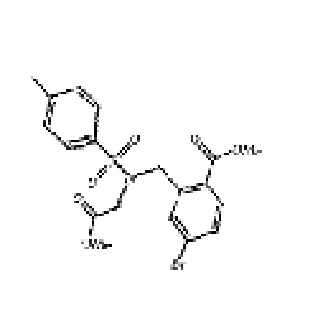 COC(=O)CN(Cc1cc(Br)ccc1C(=O)OC)S(=O)(=O)c1ccc(C)cc1